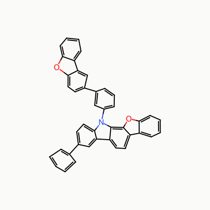 c1ccc(-c2ccc3c(c2)c2ccc4c5ccccc5oc4c2n3-c2cccc(-c3ccc4oc5ccccc5c4c3)c2)cc1